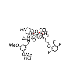 COc1cc(CN(C(=O)C2=C(c3ccc(CCCOc4c(F)ccc(F)c4F)cc3)CC3CNC[C@H]2N3C(=O)OC(C)(C)C(Cl)(Cl)Cl)C2CC2)cc(OC)c1.Cl